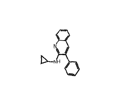 c1ccc(-c2cc3ccccc3nc2NC2CC2)cc1